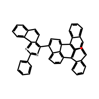 c1ccc(-c2nc(-c3ccc(-c4cccc5ccccc45)c4c(-c5cccc6ccccc56)cccc34)c3ccc4ccccc4c3n2)cc1